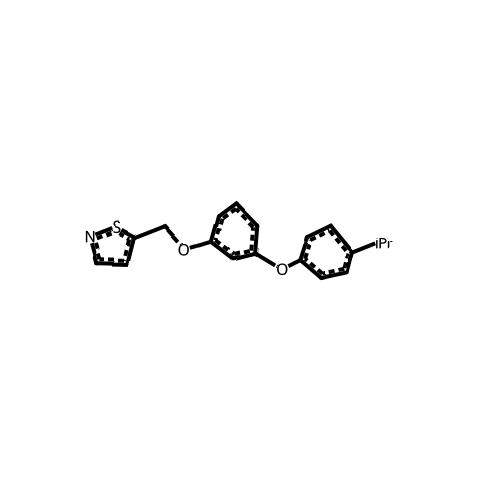 CC(C)c1ccc(Oc2cccc(OCc3ccns3)c2)cc1